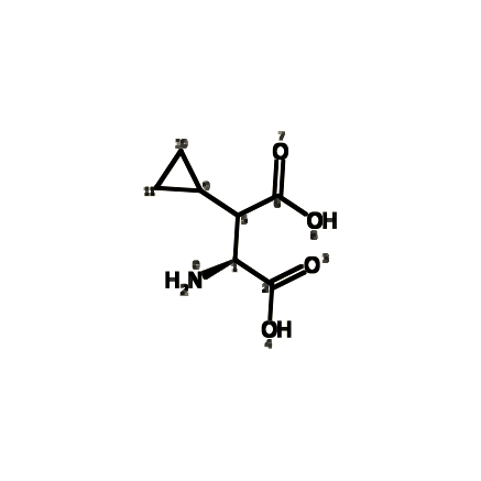 N[C@H](C(=O)O)C(C(=O)O)C1CC1